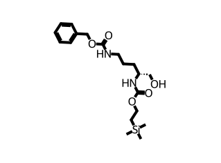 C[Si](C)(C)CCOC(=O)N[C@@H](CO)CCCNC(=O)OCc1ccccc1